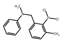 Cc1cccc(CN(C)c2ccccc2)c1P(Cl)Cl